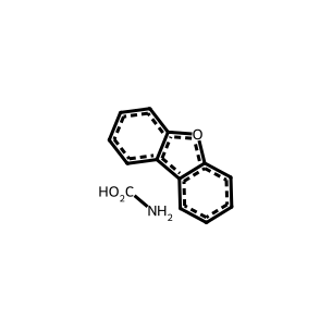 NC(=O)O.c1ccc2c(c1)oc1ccccc12